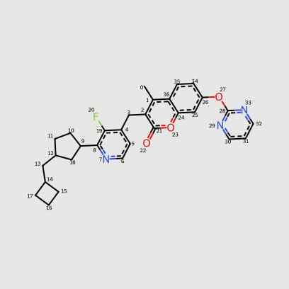 Cc1c(Cc2ccnc(C3CCC(CC4CCC4)C3)c2F)c(=O)oc2cc(Oc3ncccn3)ccc12